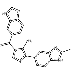 Cc1nc2cc(-n3ncc(C(=O)c4ccc5cc[nH]c5c4)c3N)ccc2[nH]1